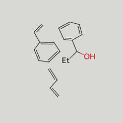 C=CC=C.C=Cc1ccccc1.CCC(O)c1ccccc1